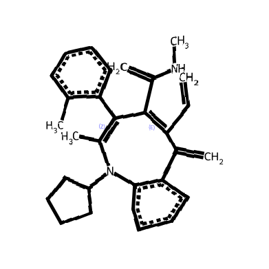 C=C/C1=C(C(=C)NC)/C(c2ccccc2C)=C(/C)N(C2CCCC2)c2ccccc2C1=C